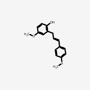 COc1ccc(O)c(CC=Cc2ccc(SC)cc2)c1